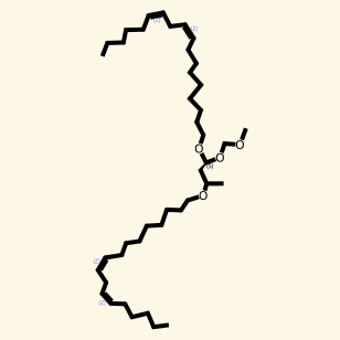 CCCCC/C=C\C/C=C\CCCCCCCCOC(C)C[C@@H](OCCCCCCCC/C=C\C/C=C\CCCCC)OCOC